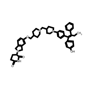 CCC(=C(c1ccc(O)cc1)c1ccc(N2CCC(CN3CCC(COc4ccc5c(c4)CN(C4CCC(=O)NC4=O)C5)CC3)CC2)cc1)c1ccccc1